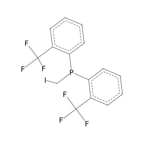 FC(F)(F)c1ccccc1P(CI)c1ccccc1C(F)(F)F